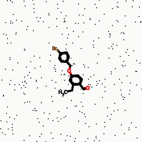 CCc1cc(OCc2ccc(Br)cc2)ccc1C=O